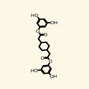 O=C(CC1CCC(CC(=O)Oc2cc(O)cc(O)c2)CC1)Oc1cc(O)cc(O)c1